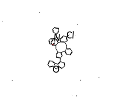 Clc1cc2c(c(N(c3ccccc3)c3ccccc3)c1)-c1ccccc1Cc1ccc(-c3cccc4oc5ccccc5c34)cc1-c1ccccc1C2